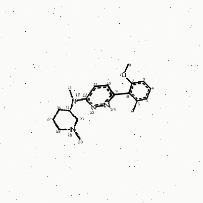 COc1cccc(C)c1-c1ccc(N(C)[C@@H]2CCCN(C)C2)nn1